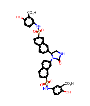 O=C(O)c1cc(NS(=O)(=O)c2ccc3ccc(C4CNC(=O)N4c4ccc5ccc(S(=O)(=O)Nc6ccc(O)c(C(=O)O)c6)cc5c4)cc3c2)ccc1O